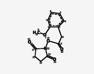 COc1ccccc1CC(=O)ON1C(=O)CCC1=O